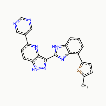 Cc1ccc(-c2cccc3[nH]c(-c4n[nH]c5ccc(-c6cncnc6)nc45)nc23)s1